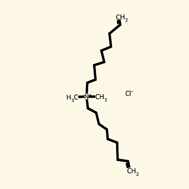 C=CCCCCCCC[N+](C)(C)CCCCCCCC=C.[Cl-]